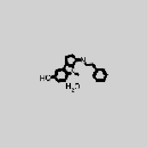 Cn1c2c(c3cc(O)ccc31)CCC2=NCCc1ccccc1.O